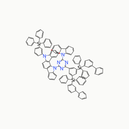 c1ccc(-c2cccc([Si](c3ccccc3)(c3ccccc3)c3cc(-c4nc(-n5c6ccccc6c6ccccc65)nc(-n5c6ccccc6c6ccc7c(c8ccccc8n7-c7cccc([Si](c8ccccc8)(c8ccccc8)c8ccccc8)c7)c65)n4)cc([Si](c4ccccc4)(c4ccccc4)c4cccc(-c5ccccc5)c4)c3)c2)cc1